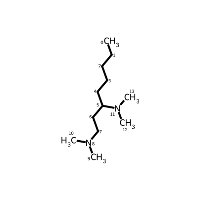 CCCCCC(CCN(C)C)N(C)C